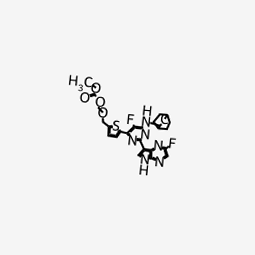 COC(=O)OCOCc1ccc(-c2nc(-c3c[nH]c4ncc(F)nc34)nc(NC3CC4CCC3CC4)c2F)s1